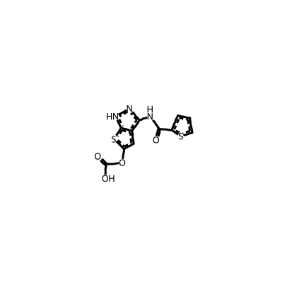 O=C(O)Oc1cc2c(NC(=O)c3cccs3)n[nH]c2s1